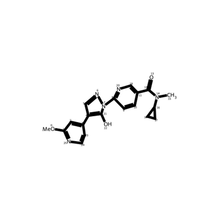 COc1cc(-c2cnn(-c3ccc(C(=O)N(C)C4CC4)cn3)c2O)ccn1